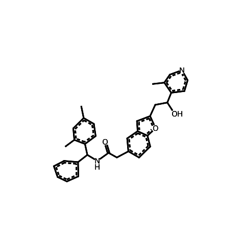 Cc1ccc(C(NC(=O)Cc2ccc3oc(CC(O)c4ccncc4C)cc3c2)c2ccccc2)c(C)c1